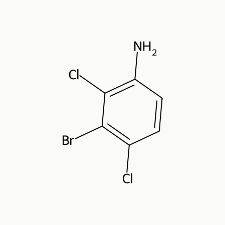 Nc1ccc(Cl)c(Br)c1Cl